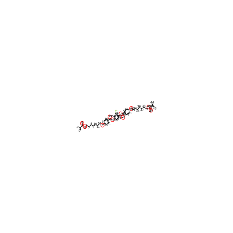 C=C(C)C(=O)OCCCCCCCOc1ccc(C(=O)Oc2ccc(OC(=O)c3ccc(OCCCCCCCOC(=O)C(=C)C)cc3)c(F)c2)cc1